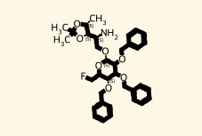 C[C@H]1OC(C)(C)O[C@H]1[C@@H](N)CO[C@H]1OC(CF)[C@@H](OCc2ccccc2)C(OCc2ccccc2)C1OCc1ccccc1